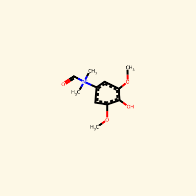 COc1cc([N+](C)(C)C=O)cc(OC)c1O